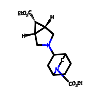 CCOC(=O)[C@@H]1[C@@H]2CN(C3CC4CCC3CN4C(=O)OCC)C[C@@H]21